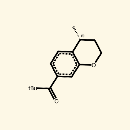 C[C@@H]1CCOc2cc(C(=O)C(C)(C)C)ccc21